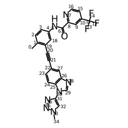 Cc1ccc(NC(=O)c2cc(C(F)(F)F)ccn2)cc1C#Cc1ccc2c(c1)ncn2-c1cn(C)nn1